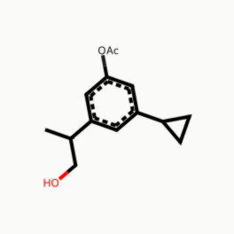 C[C](CO)c1cc(OC(C)=O)cc(C2CC2)c1